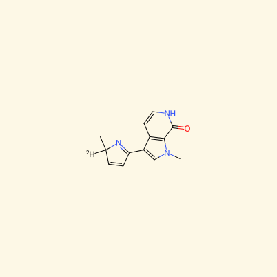 [2H]C1(C)C=CC(c2cn(C)c3c(=O)[nH]ccc23)=N1